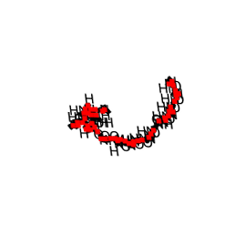 CCN(CC)CCCC[C@H](NC(=O)[C@H](CC(C)C)NC(=O)[C@H](C)NC(=O)[C@H](Cc1ccccc1)NC(=O)c1ccc(C(C)(C)C)cc1)C(=O)N[C@@H](CO)C(=O)NCCOCCOCCN(C)C(=O)CCNC(=O)c1nc(NC(=O)c2cc(NC(=O)CCNC(=O)c3nc(NC(=O)CCCNC(=O)c4cc(NC(=O)c5nc(NC(=O)CCNC(=O)c6cc(NC(=O)c7nccn7C)cn6C)cn5C)cn4C)cn3C)cn2C)cn1C